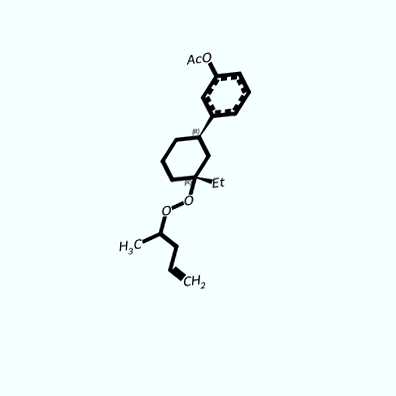 C=CCC(C)OO[C@]1(CC)CCC[C@@H](c2cccc(OC(C)=O)c2)C1